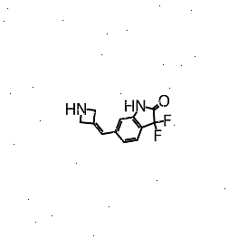 O=C1Nc2cc(C=C3CNC3)ccc2C1(F)F